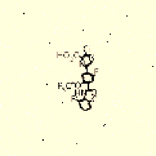 O=C(NC1=C(F)CCC=C1Cl)c1cc(F)c(-c2cnc(Cl)c(C(=O)O)n2)cc1OCC(F)(F)F